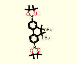 CCCCC1(C)c2cc(B3OC(C)(C)C(C)(C)O3)ccc2-c2ccc(B3OC(C)(C)C(C)(C)O3)cc2C1(C)CCCC